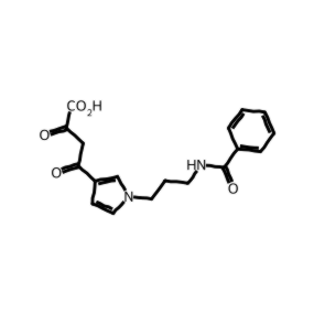 O=C(O)C(=O)CC(=O)c1ccn(CCCNC(=O)c2ccccc2)c1